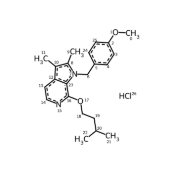 COc1ccc(Cn2c(C)c(C)c3ccnc(OCCC(C)C)c32)cc1.Cl